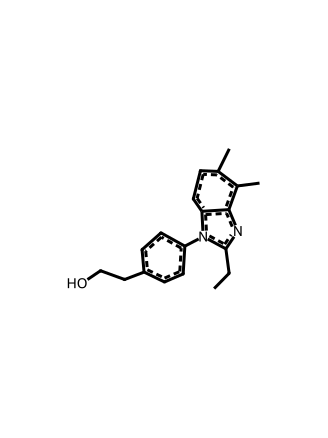 CCc1nc2c(C)c(C)ccc2n1-c1ccc(CCO)cc1